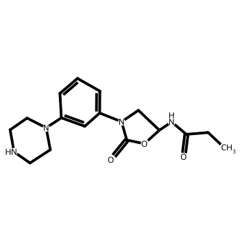 CCC(=O)NC1CN(c2cccc(N3CCNCC3)c2)C(=O)O1